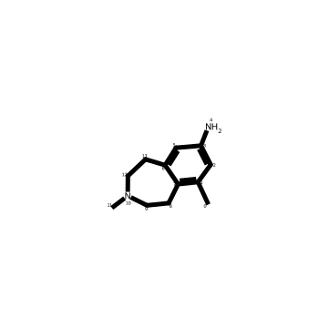 Cc1cc(N)cc2c1CCN(C)CC2